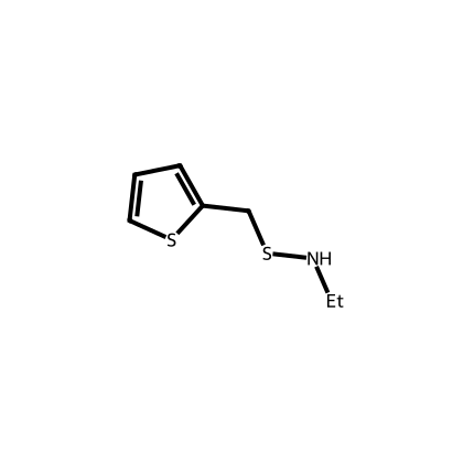 CCNSCc1cccs1